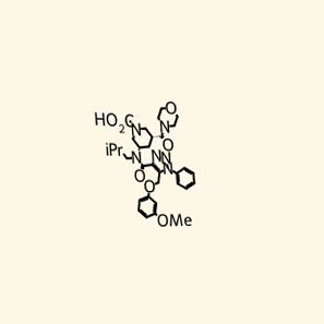 COc1cccc(OCc2c(C(=O)N(CC(C)C)[C@H]3C[C@@H](C(=O)N4CCOCC4)CN(C(=O)O)C3)nnn2-c2ccccc2)c1